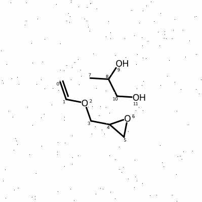 C=COCC1CO1.CC(O)CO